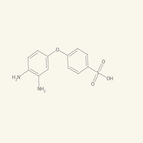 Nc1ccc(Oc2ccc(S(=O)(=O)O)cc2)cc1N